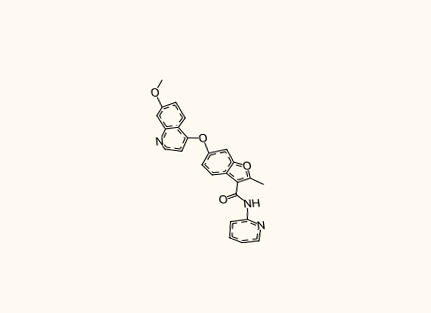 COc1ccc2c(Oc3ccc4c(C(=O)Nc5ccccn5)c(C)oc4c3)ccnc2c1